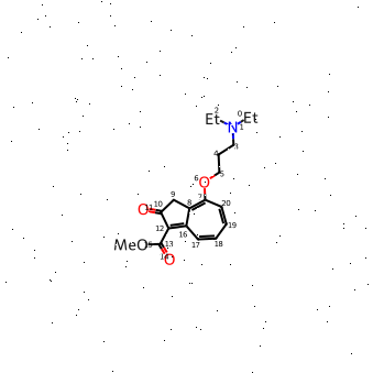 CCN(CC)CCCOC1=C2CC(=O)C(C(=O)OC)=C2C=CC=C1